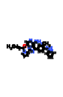 CC#CC(=O)N1CCC[C@H]1c1nc(-c2ccc(Nc3ccccn3)c(C)c2)c2c(N)nccn12